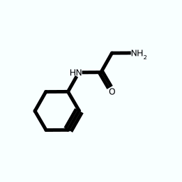 NCC(=O)NC1C#CCCC1